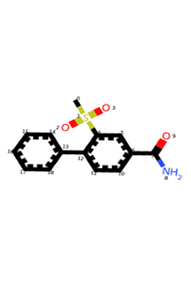 CS(=O)(=O)c1cc(C(N)=O)ccc1-c1ccccc1